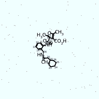 Cc1oc(C)c(S(=O)(=O)Nc2ccccc2CN[C@@H](C)CC2CCCCC2)c1C(=O)O